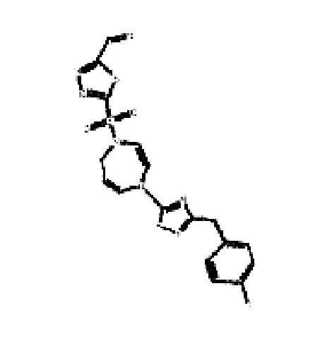 O=Cc1nnc(S(=O)(=O)N2C=CN(c3nc(Cc4ccc(F)cc4)ns3)C=CC2)s1